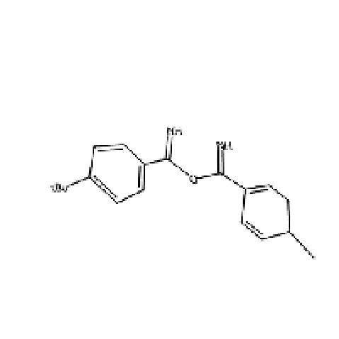 CC1C=CC(C(=N)OC(=N)c2ccc(C(C)(C)C)cc2)=CC1